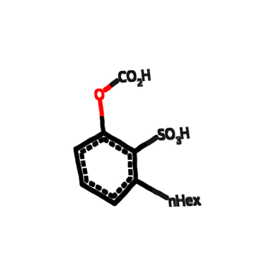 CCCCCCc1cccc(OC(=O)O)c1S(=O)(=O)O